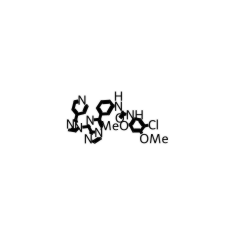 COc1cc(OC)c(NC(=O)Nc2cccc(-c3cn4ccnc4c(-n4ccnc4-c4ccncc4)n3)c2)cc1Cl